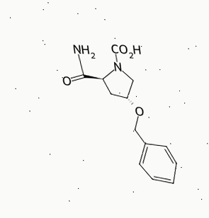 NC(=O)[C@@H]1C[C@@H](OCc2ccccc2)CN1C(=O)O